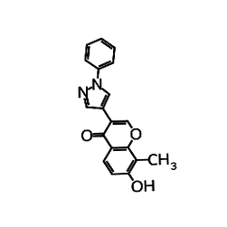 Cc1c(O)ccc2c(=O)c(-c3cnn(-c4ccccc4)c3)coc12